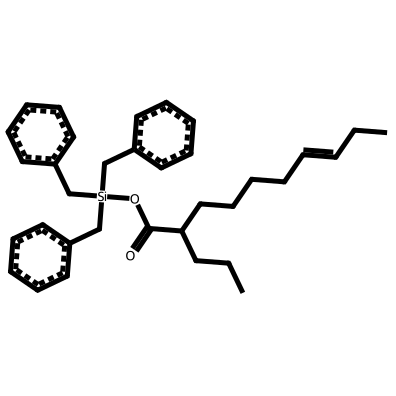 CCC=CCCCCC(CCC)C(=O)O[Si](Cc1ccccc1)(Cc1ccccc1)Cc1ccccc1